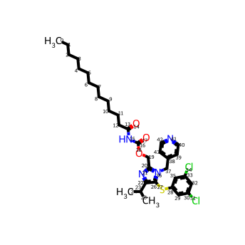 CCCCCCCCCCCCCC(=O)NC(=O)OCc1nc(C(C)C)c(Sc2cc(Cl)cc(Cl)c2)n1Cc1ccncc1